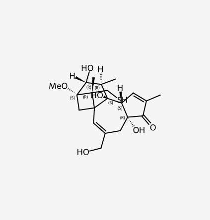 CO[C@]12CC3(C=C(CO)C[C@]4(O)C(=O)C(C)=C[C@H]4[C@@]3(O)[C@H](C)[C@H]1O)[C@@]2(C)CS